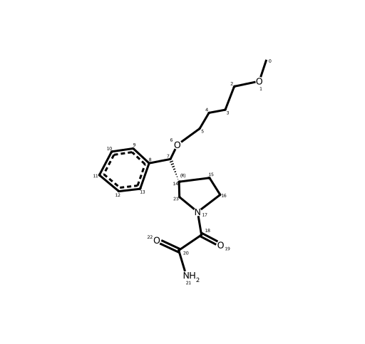 COCCCCOC(c1ccccc1)[C@@H]1CCN(C(=O)C(N)=O)C1